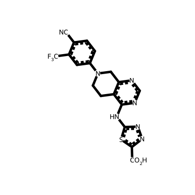 N#Cc1ccc(N2CCc3c(ncnc3Nc3nnc(C(=O)O)s3)C2)cc1C(F)(F)F